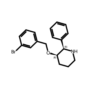 Brc1cccc(CO[C@@H]2CCCN[C@@H]2c2ccccc2)c1